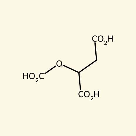 O=C(O)CC(OC(=O)O)C(=O)O